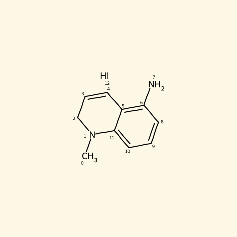 CN1CC=Cc2c(N)cccc21.I